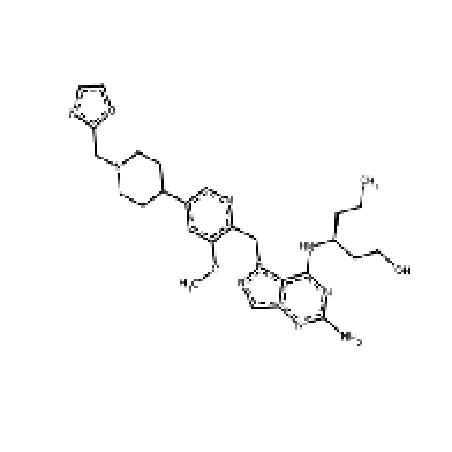 CCC[C@@H](CCO)Nc1nc(N)nc2cnn(Cc3ncc(C4CCN(Cc5ncco5)CC4)cc3OC)c12